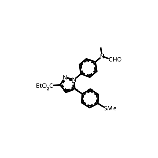 CCOC(=O)c1cc(-c2ccc(SC)cc2)n(-c2ccc(N(C)C=O)cc2)n1